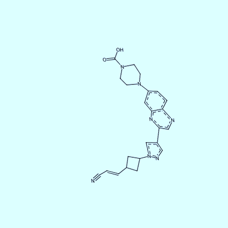 N#CC=CC1CC(n2cc(-c3cnc4ccc(N5CCN(C(=O)O)CC5)cc4n3)cn2)C1